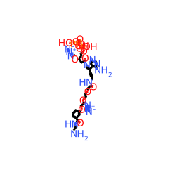 [N-]=[N+]=NCOC1CC(n2cc(C#CCNC(=O)COCCOC(COc3cccc(C(=O)NCCN)c3)N=[N+]=[N-])c3c(N)ncnc32)OC1COP(=O)(O)OP(=O)(O)OPO